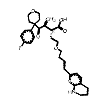 C=C(C(=O)C1(c2ccc(F)cc2)CCOCC1)[C@@H](CCOCCCCc1ccc2c(n1)NCCC2)C(=O)O